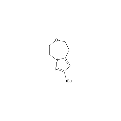 CC(C)(C)c1cc2n(n1)CCOCC2